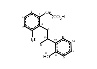 CCc1cccc(OC(=O)O)c1CC(C)c1ccccc1O